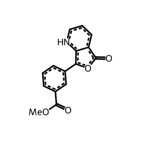 COC(=O)c1cccc(-c2oc(=O)c3ccc[nH]c2-3)c1